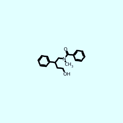 CN(CC(CCO)c1ccccc1)C(=O)c1ccccc1